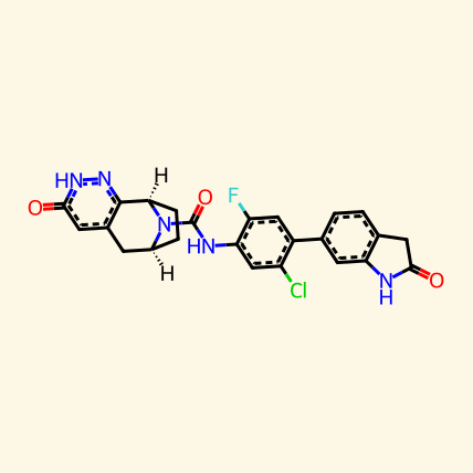 O=C1Cc2ccc(-c3cc(F)c(NC(=O)N4[C@H]5CC[C@@H]4c4n[nH]c(=O)cc4C5)cc3Cl)cc2N1